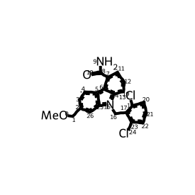 COCc1c[c]c2c3c(C(N)=O)cccc3n(Cc3c(Cl)cccc3Cl)c2c1